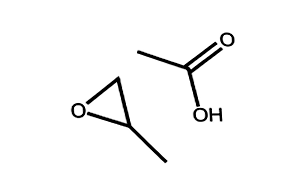 CC(=O)O.CC1CO1